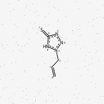 C=CCn1nnc(=S)[nH]1